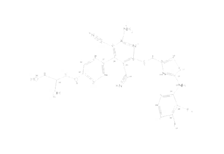 N#Cc1c(N)nc(SCc2csc(Nc3cccc(F)c3F)n2)c(C#N)c1-c1ccc(OCC(O)CO)cc1